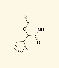 [NH]C(=O)C(OC=O)c1cccs1